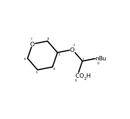 CCCCC(OC1CCCOC1)C(=O)O